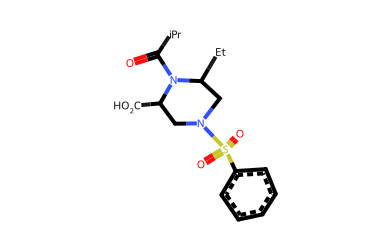 CCC1CN(S(=O)(=O)c2ccccc2)CC(C(=O)O)N1C(=O)C(C)C